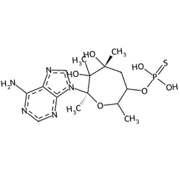 CC1O[C@@](C)(n2cnc3c(N)ncnc32)C(C)(O)[C@](C)(O)CC1OP(O)(O)=S